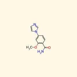 COc1cc(-n2ccnc2)ccc1C(N)=O